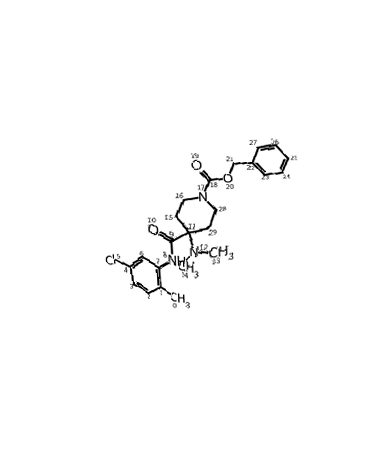 Cc1ccc(Cl)cc1NC(=O)C1(N(C)C)CCN(C(=O)OCc2ccccc2)CC1